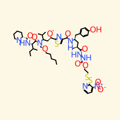 CCCCCOCN(C(=O)[C@@H](NC(=O)[C@H]1CCCCN1C)C(C)CC)C(C[C@@H](OC)c1nc(C(=O)N[C@@H](Cc2ccc(O)cc2)C[C@H](C)C(=O)NNC(=O)OCCSSc2ncccc2[N+](=O)[O-])cs1)C(C)C